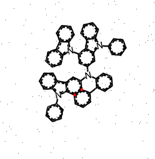 c1ccc(-c2ccccc2N(c2ccc3c(c2)c2ccccc2n3-c2ccccc2)c2cc(-n3c4ccccc4c4ccccc43)c3c4ccccc4n(-c4ccccc4)c3c2)cc1